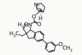 CCC1(CC)Cc2cc(-c3cccc(OC)c3)ccc2C1NC(=O)O[C@H]1CN2CCC1CC2